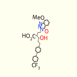 COc1cccc2c(=O)n(CC[C@H](C(=O)O)[C@H](O)CCc3ccc(-c4ccc(C(F)(F)F)cc4)cc3)nnc12